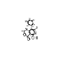 Cc1nc(O)c2c(c1-c1ccccc1)CCOC2=O